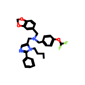 CCCCn1c(CN(Cc2ccc(OC(F)F)cc2)Cc2ccc3c(c2)OCO3)cnc1-c1ccccc1